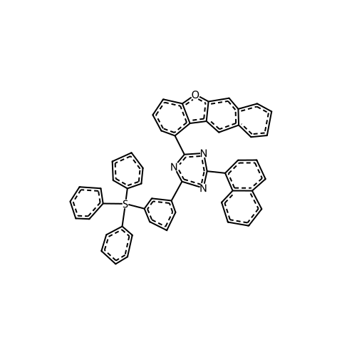 c1ccc(S(c2ccccc2)(c2ccccc2)c2cccc(-c3nc(-c4cccc5ccccc45)nc(-c4cccc5oc6cc7ccccc7cc6c45)n3)c2)cc1